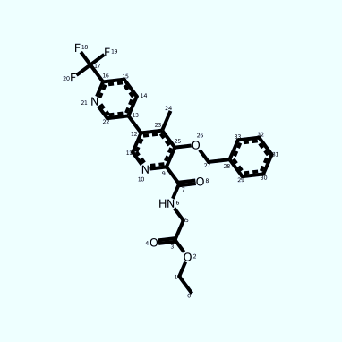 CCOC(=O)CNC(=O)c1ncc(-c2ccc(C(F)(F)F)nc2)c(C)c1OCc1ccccc1